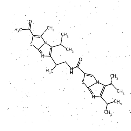 CC(=O)c1sc2nc(C(C)CNC(=O)c3cn4c(C(C)C)c(C(C)C)nc4s3)c(C(C)C)n2c1C